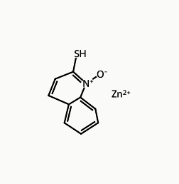 [O-][n+]1c(S)ccc2ccccc21.[Zn+2]